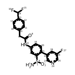 N[S+]([O-])c1cc(NC(=O)Cc2ccc(C(F)F)cc2)ccc1-c1cncc(F)c1